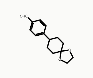 O=Cc1ccc(C2CCC3(CC2)OCCO3)cc1